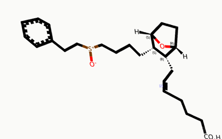 O=C(O)CCC/C=C\C[C@@H]1[C@H](CCCC[S+]([O-])CCc2ccccc2)[C@@H]2CC[C@H]1O2